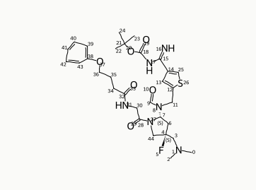 CN(C)C[C@@]1(F)C[C@@H](N(C=O)Cc2cc(C(=N)NC(=O)OC(C)(C)C)cs2)N(C(=O)CNC(=O)CCCOc2ccccc2)C1